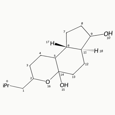 CC(C)CC1CCC2[C@@H]3CCC(O)[C@H]3CCC2(O)O1